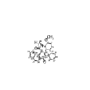 CO[C@@H]1CCCC[C@H]1N(C)C(=O)c1cc(-c2ccccc2)c(=O)n2ccc3ccsc3c12